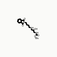 CC(C)(C)OC(=O)NCC(O)CNCCCCN1C(=O)c2ccccc2C1=O